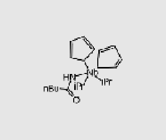 CCCCC(=O)[NH][Nb]([CH](C)C)([CH](C)C)([CH]1C=CC=C1)[CH]1C=CC=C1